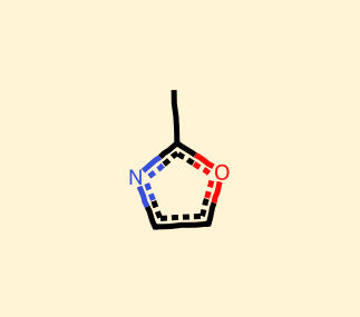 Cc1ncco1